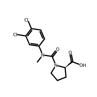 CN(C(=O)N1CCC[C@@H]1C(=O)O)c1ccc(Cl)c(Cl)c1